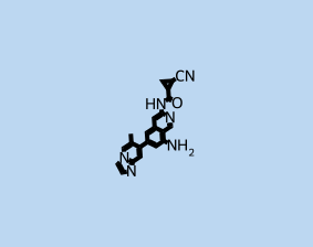 Cc1cn2ccnc2cc1-c1cc(N)c2cnc(NC(=O)C3CC3C#N)cc2c1